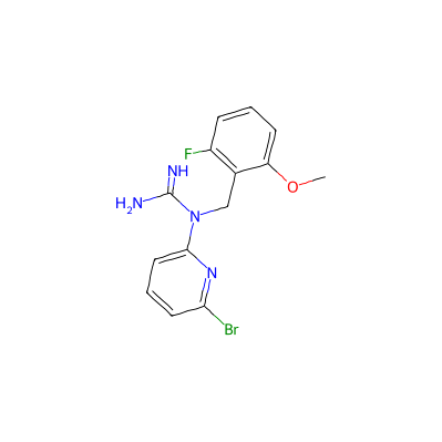 COc1cccc(F)c1CN(C(=N)N)c1cccc(Br)n1